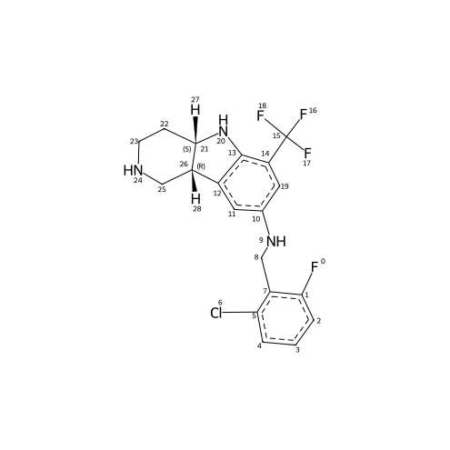 Fc1cccc(Cl)c1CNc1cc2c(c(C(F)(F)F)c1)N[C@H]1CCNC[C@@H]21